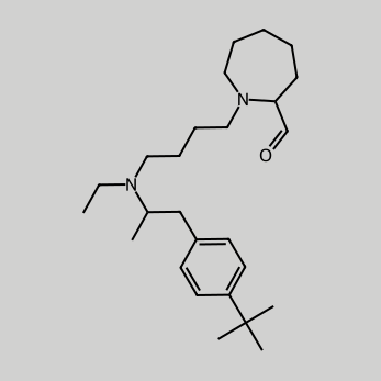 CCN(CCCCN1CCCCCC1C=O)C(C)Cc1ccc(C(C)(C)C)cc1